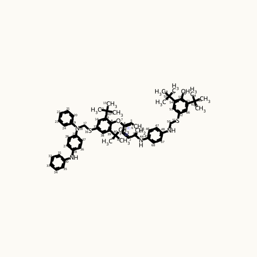 C=C(/C=C\C(=C/C)Oc1c(C(C)(C)C)cc(SCN(c2ccccc2)c2ccc(Nc3ccccc3)cc2)cc1C(C)(C)C)Nc1ccc(NCSc2cc(C(C)(C)C)c(O)c(C(C)(C)C)c2)cc1